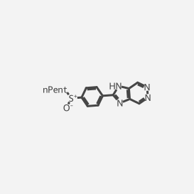 CCCCC[S+]([O-])c1ccc(-c2nc3cnncc3[nH]2)cc1